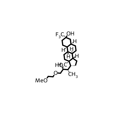 COCCOC[C@@H](O)[C@@H](C)[C@H]1CC[C@H]2[C@@H]3CC[C@@H]4C[C@@](O)(C(F)(F)F)CC[C@@H]4[C@H]3CC[C@]12C